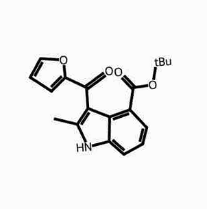 Cc1[nH]c2cccc(C(=O)OC(C)(C)C)c2c1C(=O)c1ccco1